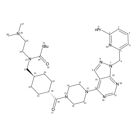 CCCc1cccc(Cn2ncc3c(N4CCN(C(=O)[C@H]5CC[C@H](CN(CCN(C)C)C(=O)C(C)(C)C)CC5)CC4)ncnc32)n1